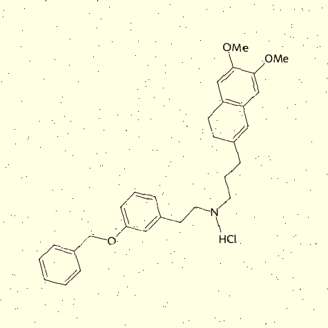 COc1cc2c(cc1OC)CCC(CCCN(C)CCc1cccc(OCc3ccccc3)c1)=C2.Cl